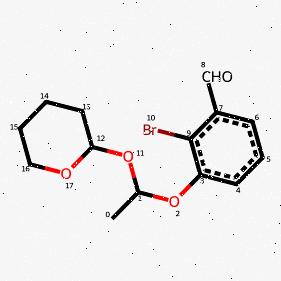 CC(Oc1cccc(C=O)c1Br)OC1CCCCO1